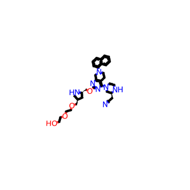 N#CC[C@H]1CN(c2nc(OC[C@@H]3C[C@@H](COCCOCCO)CN3)nc3c2CCN(c2cccc4ccccc24)C3)CCN1